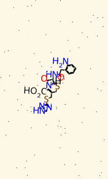 Nc1ccccc1CC(=O)NC1C(=O)N2C(C(=O)O)=C(CSc3nc[nH]n3)CS[C@@H]12